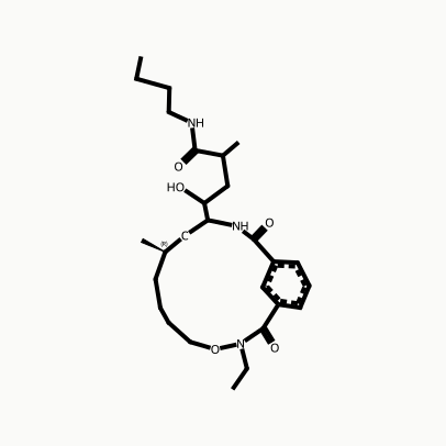 CCCCNC(=O)C(C)CC(O)C1C[C@H](C)CCCCON(CC)C(=O)c2cccc(c2)C(=O)N1